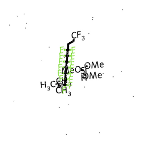 CO[SiH](OC)OC.C[Si](C)(C)C(F)(F)C(F)(F)C(F)(F)C(F)(F)C(F)(F)C(F)(F)C(F)(F)CCC(F)(F)F